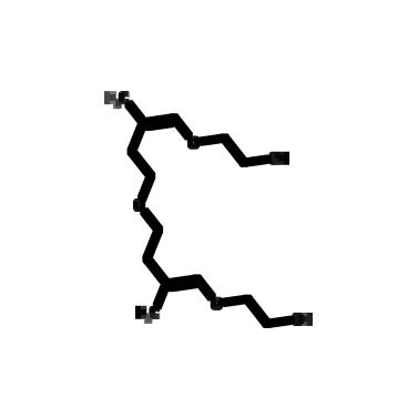 CC(=COCCO)CCOCCC(C)=COCCO